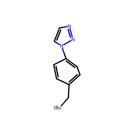 CC(C)(C)Cc1ccc(-n2ccnn2)cc1